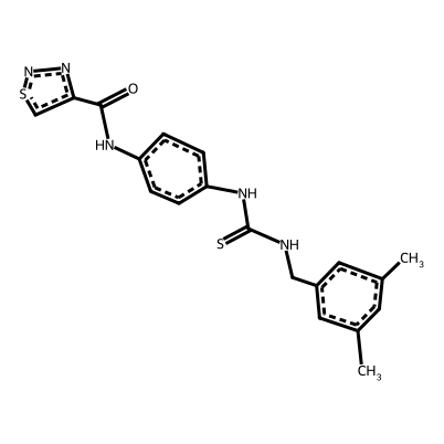 Cc1cc(C)cc(CNC(=S)Nc2ccc(NC(=O)c3csnn3)cc2)c1